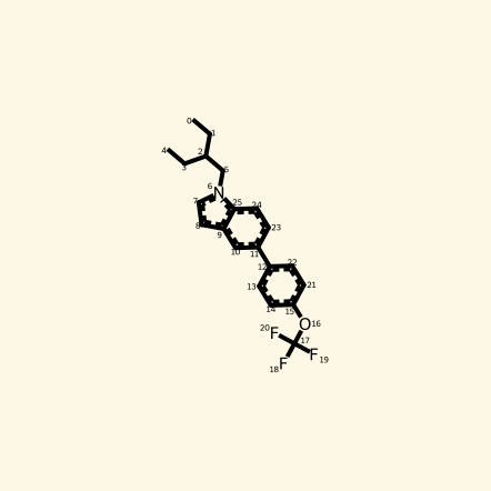 CCC(CC)Cn1ccc2cc(-c3ccc(OC(F)(F)F)cc3)ccc21